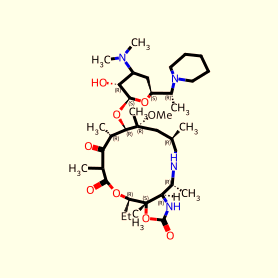 CC[C@H]1OC(=O)C(C)C(=O)[C@H](C)[C@@H](O[C@@H]2O[C@H]([C@@H](C)N3CCCCC3)CC(N(C)C)[C@H]2O)[C@](C)(OC)C[C@@H](C)CN[C@H](C)[C@H]2NC(=O)O[C@@]21C